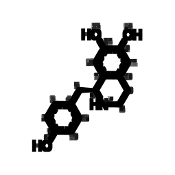 Oc1ccc(C[C@@H]2NCCc3cc(O)c(O)cc32)cc1